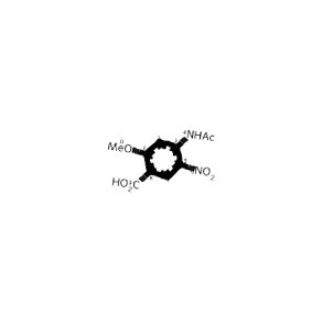 COc1cc(NC(C)=O)c([N+](=O)[O-])cc1C(=O)O